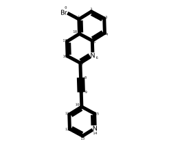 Brc1cccc2nc(C#Cc3cccnc3)ccc12